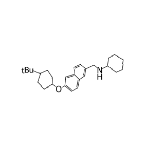 CC(C)(C)C1CCC(Oc2ccc3cc(CNC4CCCCC4)ccc3c2)CC1